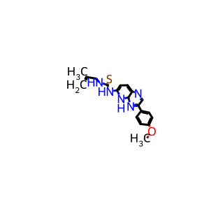 C=C(C)CNC(=S)NC1=CC=C2N=CC(c3ccc(OC)cc3)=NC2N1